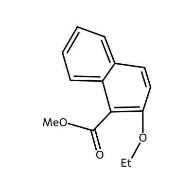 CCOc1ccc2ccccc2c1C(=O)OC